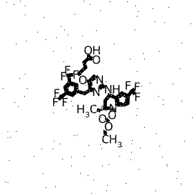 CCOC(=O)ON1c2ccc(C(F)(F)F)cc2[C@@H](Nc2ncc(OCCCC(=O)O)c(Cc3cc(C(F)(F)F)cc(C(F)(F)F)c3)n2)C[C@H]1CC